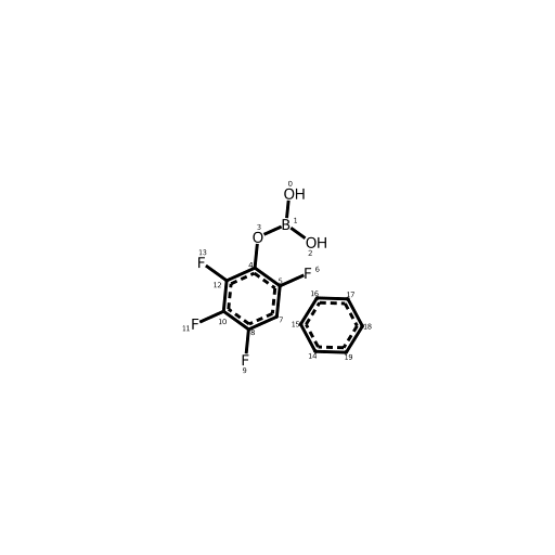 OB(O)Oc1c(F)cc(F)c(F)c1F.c1ccccc1